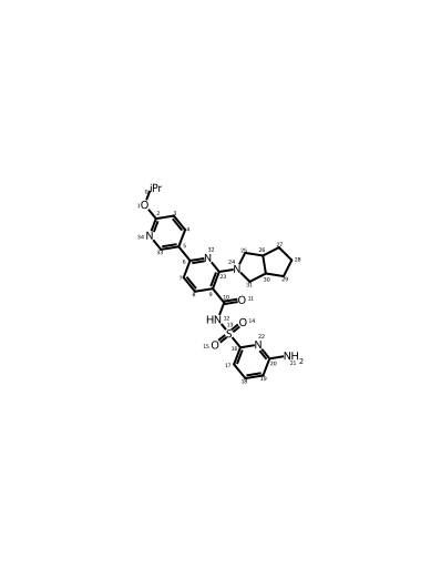 CC(C)Oc1ccc(-c2ccc(C(=O)NS(=O)(=O)c3cccc(N)n3)c(N3CC4CCCC4C3)n2)cn1